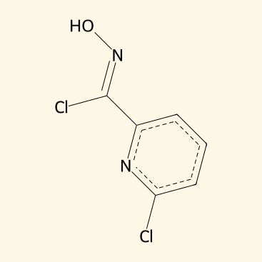 O/N=C(\Cl)c1cccc(Cl)n1